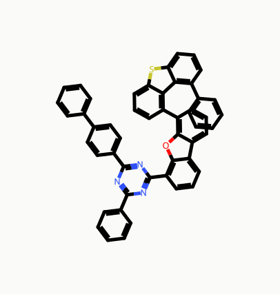 c1ccc(-c2ccc(-c3nc(-c4ccccc4)nc(-c4cccc5c4oc4c(-c6cccc7sc8cccc(-c9ccccc9)c8c67)cccc45)n3)cc2)cc1